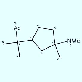 CNC1(C)CCC(C(C)(C)C(C)=O)C1